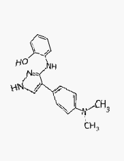 CN(C)c1ccc(-c2c[nH]nc2Nc2ccccc2O)cc1